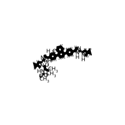 COC(=O)N[C@H](C(=O)N1CC2(CC2)C[C@H]1c1ncc(-c2ccc(-c3ccc(-c4ccc(-c5cnc([C@@H]6CC7(CC7)CN6)[nH]5)cc4)c4cccc(C)c34)cc2)[nH]1)C(C)C